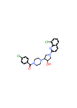 O=C(c1ccc(Cl)cc1)N1CCN(C2CN(c3ccc4cccc(Cl)c4n3)CC2O)CC1